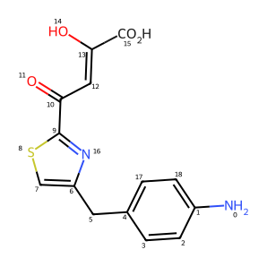 Nc1ccc(Cc2csc(C(=O)C=C(O)C(=O)O)n2)cc1